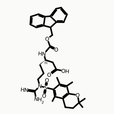 Cc1c(C)c(S(=O)(=O)N(CCC[C@@H](CC(=O)O)NC(=O)OCC2c3ccccc3-c3ccccc32)C(=N)N)c(C)c2c1OC(C)(C)CC2